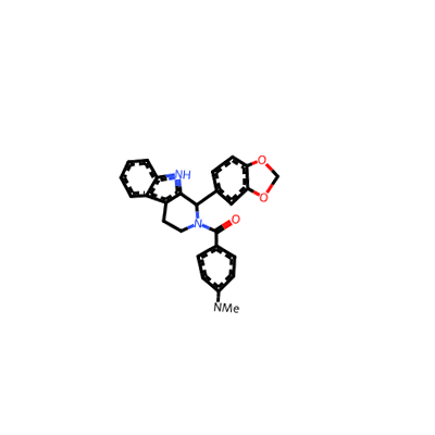 CNc1ccc(C(=O)N2CCc3c([nH]c4ccccc34)C2c2ccc3c(c2)OCO3)cc1